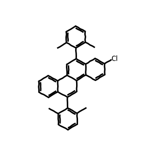 Cc1cccc(C)c1-c1cc2c3ccc(Cl)cc3c(-c3c(C)cccc3C)cc2c2ccccc12